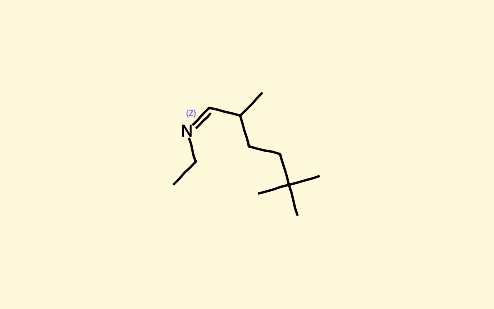 CC/N=C\C(C)CCC(C)(C)C